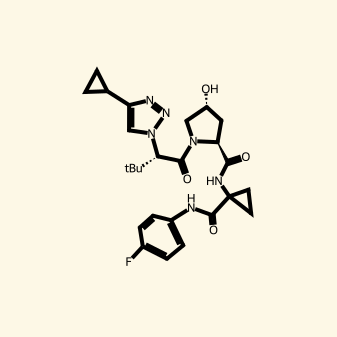 CC(C)(C)[C@@H](C(=O)N1C[C@H](O)C[C@H]1C(=O)NC1(C(=O)Nc2ccc(F)cc2)CC1)n1cc(C2CC2)nn1